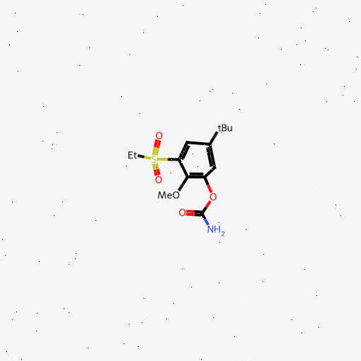 CCS(=O)(=O)c1cc(C(C)(C)C)cc(OC(N)=O)c1OC